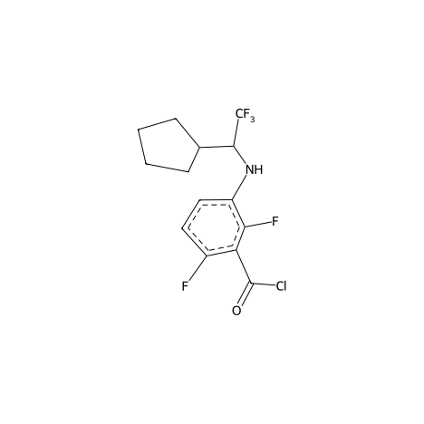 O=C(Cl)c1c(F)ccc(NC(C2CCCC2)C(F)(F)F)c1F